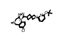 CN1Cc2cc(Cl)ccc2-n2c(nnc2C2CC3(C2)CN(c2cccc(OC(C)(C)C)n2)C3)C1